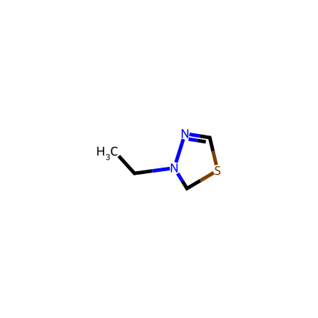 CCN1CSC=N1